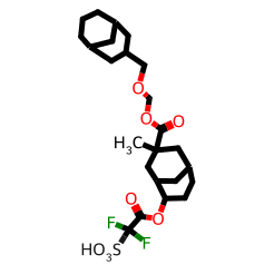 CC1(C(=O)OCOCC2CC3CCCC(C3)C2)CC2CCC(OC(=O)C(F)(F)S(=O)(=O)O)C(C2)C1